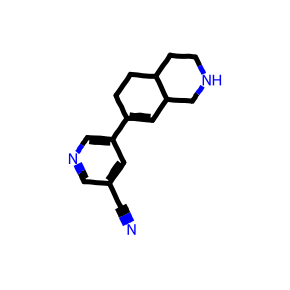 N#Cc1cncc(C2=CC3CNCCC3CC2)c1